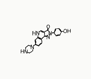 O=c1c2c[nH]c3cc(N4CCNCC4)ccc3c-2nn1-c1ccc(O)cc1